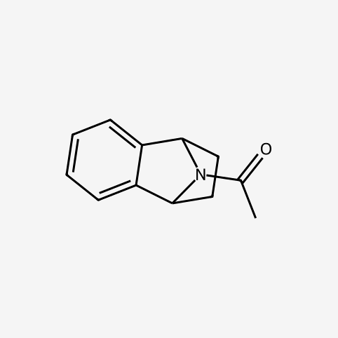 CC(=O)N1C2CCC1c1ccccc12